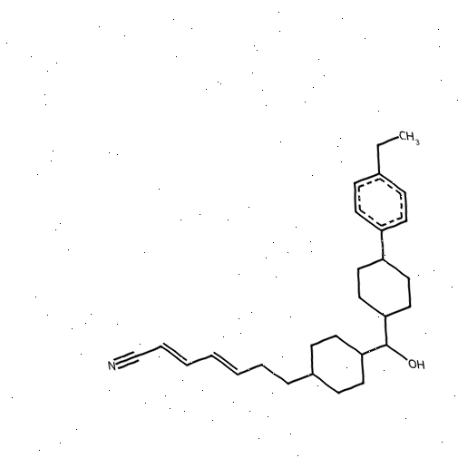 CCc1ccc(C2CCC(C(O)C3CCC(CCC=CC=CC#N)CC3)CC2)cc1